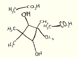 CC(=O)O.CC(=O)O.CC1(C)C(O)C(C)(C)C1O